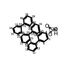 O=[SH](=O)O.c1ccc(-c2ccccc2)cc1.c1ccc(-c2ccccc2)cc1.c1ccc(-c2ccccc2)cc1